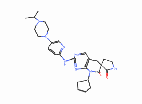 CC(C)N1CCN(c2ccc(Nc3ncc4c(n3)N(C3CCCC3)C(=O)[C@]3(CCNC3=O)C4)nc2)CC1